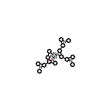 c1ccc(-c2ccccc2-c2nc(-n3c4ccccc4c4cc(-c5ccc6c(c5)c5ccccc5n6-c5ccccc5)ccc43)nc(-n3c4ccc(-c5ccc6c(c5)c5ccccc5n6-c5ccccc5)cc4c4cc(-c5ccc6c(c5)c5ccccc5n6-c5ccccc5)ccc43)n2)cc1